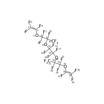 FC(F)=C(F)OC(F)(F)C(F)(OC(F)(F)C(F)(F)OC(F)(C(F)(F)F)C(F)(F)OC(F)=C(F)F)C(F)(F)F